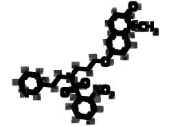 Cn1c(=O)ccc2cc(OCCCN(CCc3cccnc3)S(=O)(=O)c3ccccc3[N+](=O)[O-])ccc21